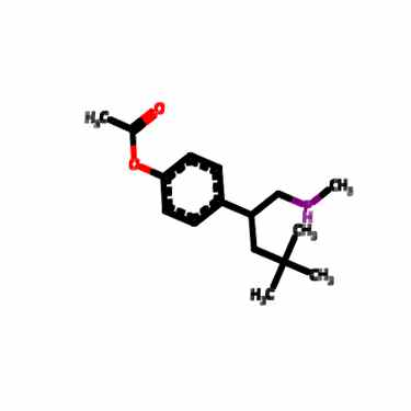 CPCC(CC(C)(C)C)c1ccc(OC(C)=O)cc1